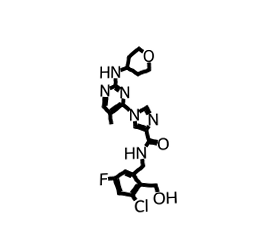 Cc1cnc(NC2CCOCC2)nc1-n1cnc(C(=O)NCc2cc(F)cc(Cl)c2CO)c1